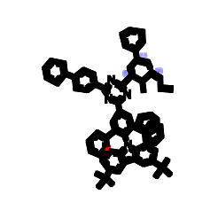 C=C/C=C\C(C)/C(=C\C(=C/C)c1ccccc1)c1nc(-c2ccc(-c3ccccc3)cc2)nc(-c2cc(-c3ccccc3)c(-n3c4ccc(C(C)(C)C)cc4c4cc(C(C)(C)C)cc(-c5ccccc5)c43)c(-c3ccccc3)c2)n1